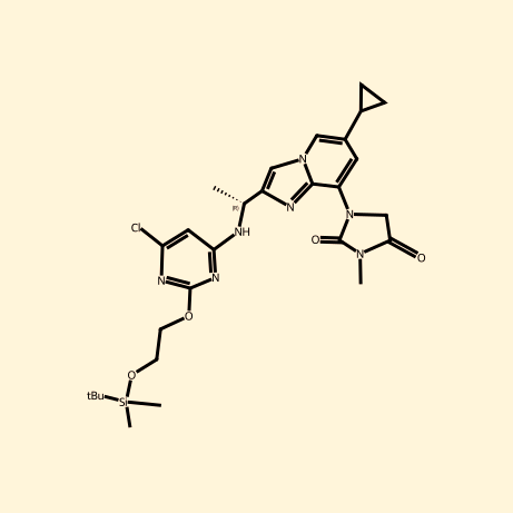 C[C@@H](Nc1cc(Cl)nc(OCCO[Si](C)(C)C(C)(C)C)n1)c1cn2cc(C3CC3)cc(N3CC(=O)N(C)C3=O)c2n1